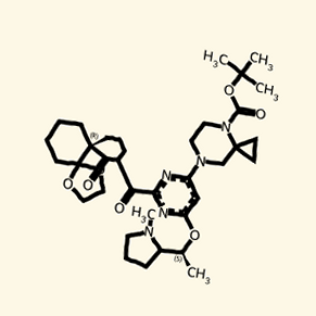 C[C@H](Oc1cc(N2CCN(C(=O)OC(C)(C)C)C3(CC3)C2)nc(C(=O)C2CCC[C@@]3(CCCCC34OCCO4)C2=O)n1)C1CCCN1C